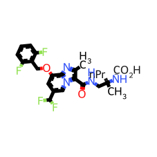 CCCC(C)(CNC(=O)c1c(C)nc2c(OCc3c(F)cccc3F)cc(C(F)F)cn12)NC(=O)O